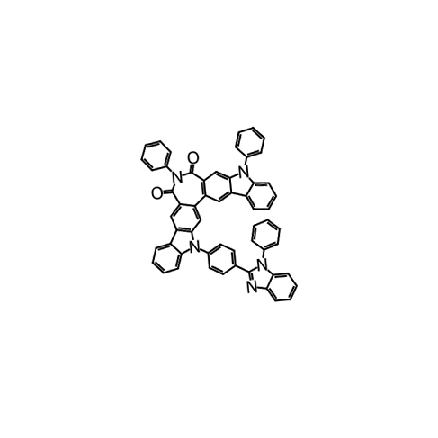 O=c1c2cc3c(cc2c2cc4c(cc2c(=O)n1-c1ccccc1)c1ccccc1n4-c1ccc(-c2nc4ccccc4n2-c2ccccc2)cc1)c1ccccc1n3-c1ccccc1